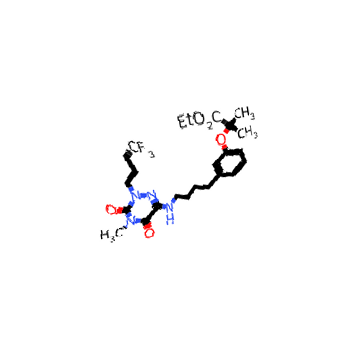 CCOC(=O)C(C)(C)Oc1cccc(CCCCNc2nn(CCCC(F)(F)F)c(=O)n(C)c2=O)c1